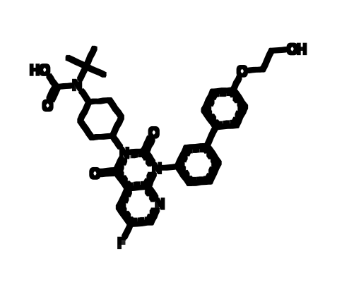 CC(C)(C)N(C(=O)O)C1CCC(n2c(=O)c3cc(F)cnc3n(-c3cccc(-c4ccc(OCCO)cc4)c3)c2=O)CC1